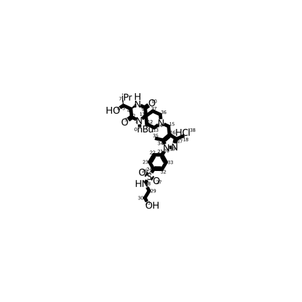 CCCCN1C(=O)[C@@H]([C@H](O)C(C)C)NC(=O)C12CCN(Cc1c(C)nn(-c3ccc(S(=O)(=O)NCCO)cc3)c1C)CC2.Cl